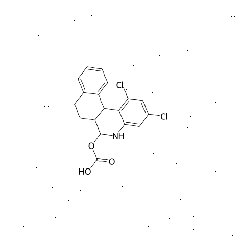 O=C(O)OC1Nc2cc(Cl)cc(Cl)c2C2c3ccccc3CCC12